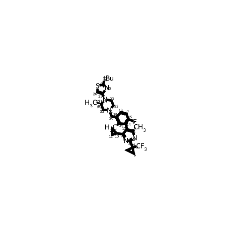 Cc1nc(C2(C(F)(F)F)CC2)nc(C2CC2)c1-c1c(F)ccc(CN2CCN(c3csc(C(C)(C)C)n3)[C@H](C)C2)c1C